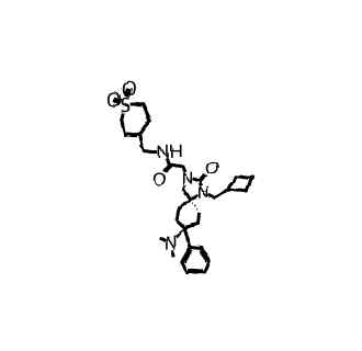 CN(C)[C@]1(c2ccccc2)CC[C@]2(CC1)CN(CC(=O)NCC1CCS(=O)(=O)CC1)C(=O)N2CC1CCC1